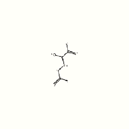 C=C(C)COC([O])C(=C)C